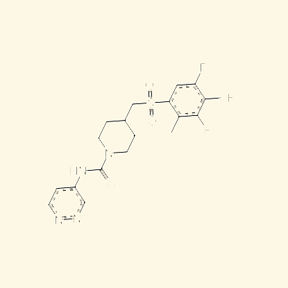 Cc1c(S(=O)(=O)CC2CCN(C(=O)Nc3ccnnc3)CC2)cc(F)c(C(F)(F)F)c1F